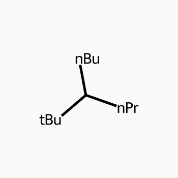 [CH2]C(C)(C)C(CCC)CCCC